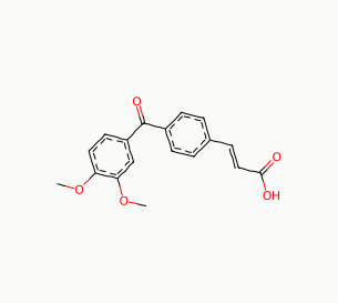 COc1ccc(C(=O)c2ccc(C=CC(=O)O)cc2)cc1OC